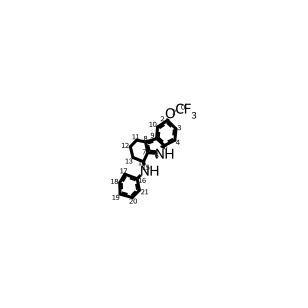 FC(F)(F)Oc1ccc2[nH]c3c(c2c1)CCCC3Nc1ccccc1